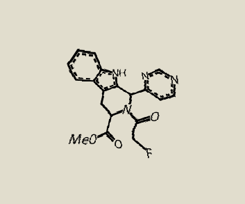 COC(=O)C1Cc2c([nH]c3ccccc23)C(c2ccncn2)N1C(=O)CF